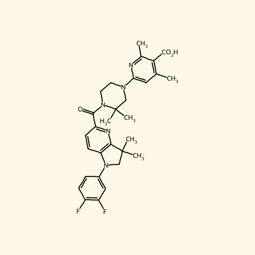 Cc1cc(N2CCN(C(=O)c3ccc4c(n3)C(C)(C)CN4c3ccc(F)c(F)c3)C(C)(C)C2)nc(C)c1C(=O)O